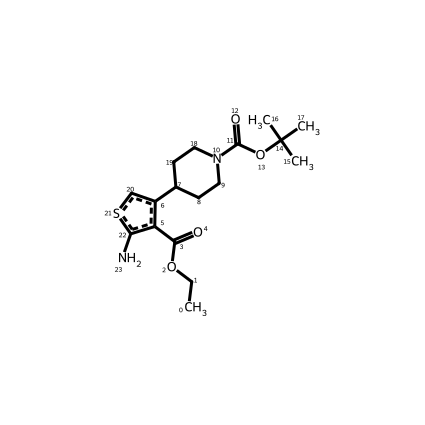 CCOC(=O)c1c(C2CCN(C(=O)OC(C)(C)C)CC2)csc1N